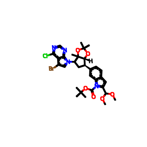 COC(OC)c1cc2ccc([C@H]3CC(n4cc(Br)c5c(Cl)ncnc54)C4(C)OC(C)(C)O[C@H]34)cc2n1C(=O)OC(C)(C)C